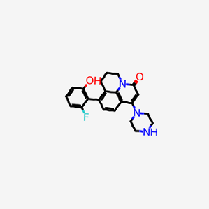 O=c1cc(N2CCNCC2)c2ccc(-c3c(O)cccc3F)c3c2n1CCC3